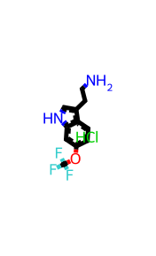 Cl.NCCc1c[nH]c2cc(OC(F)(F)F)ccc12